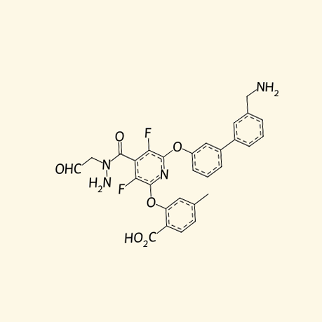 Cc1ccc(C(=O)O)c(Oc2nc(Oc3cccc(-c4cccc(CN)c4)c3)c(F)c(C(=O)N(N)CC=O)c2F)c1